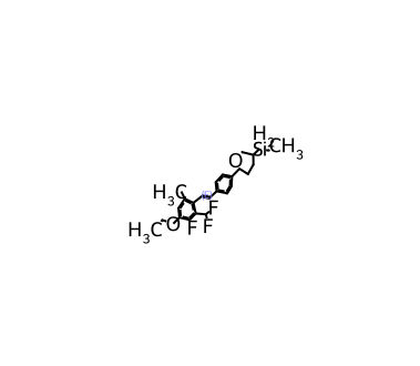 CCOc1cc(C)c(/C=C/c2ccc(C3CCC([SiH2]CC)CO3)cc2)c(C(F)F)c1F